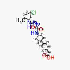 Cc1ccc(Cl)cc1Nc1nnc(C(=O)Nc2ccc([C@H]3CC[C@H](CC(=O)O)CC3)cc2)o1